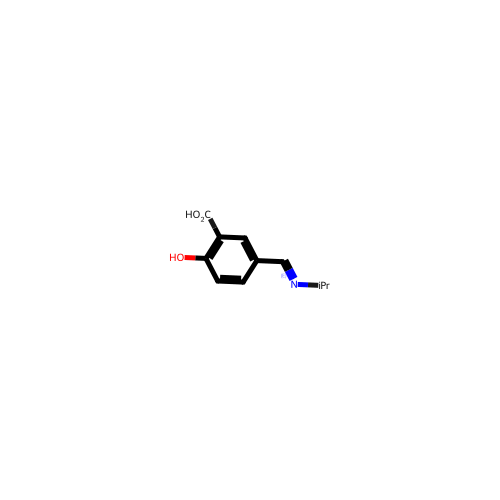 CC(C)/N=C/c1ccc(O)c(C(=O)O)c1